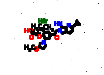 Br.COC1CCN(c2cc(C(=O)CN3Cc4ccc(C5CC5)nc4C3=N)cc(C(C)(C)C)c2OCC(=O)O)C1